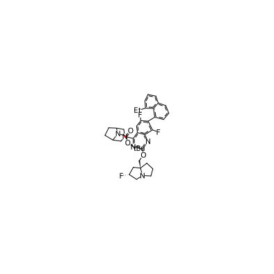 CCc1cccc2cccc(-c3c(F)cc4c(N5CC6CCC(C5)N6C(=O)OC(C)(C)C)nc(OC[C@@]56CCCN5C[C@H](F)C6)nc4c3F)c12